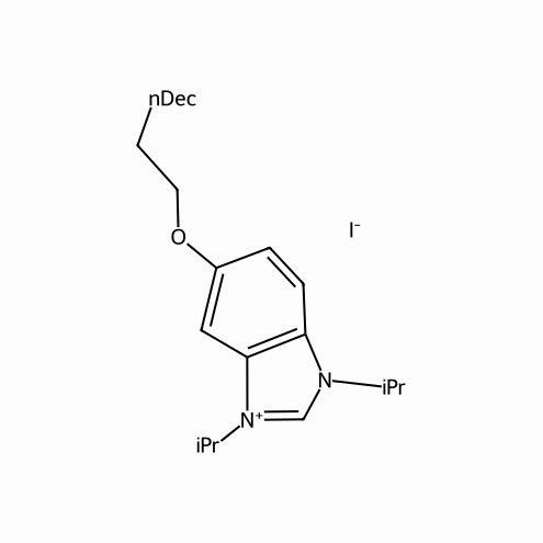 CCCCCCCCCCCCOc1ccc2c(c1)[n+](C(C)C)cn2C(C)C.[I-]